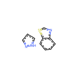 c1ccc2scnc2c1.c1cn[nH]c1